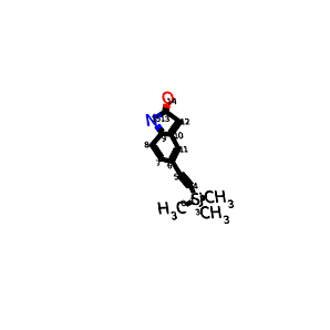 C[Si](C)(C)C#Cc1ccc2c(c1)=CC(=O)N=2